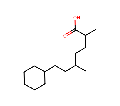 CC(CCC1CCCCC1)CCC(C)C(=O)O